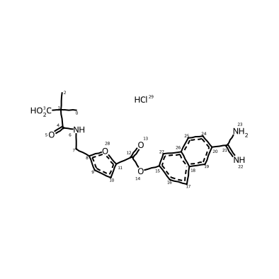 CC(C)(C(=O)O)C(=O)NCc1ccc(C(=O)Oc2ccc3cc(C(=N)N)ccc3c2)o1.Cl